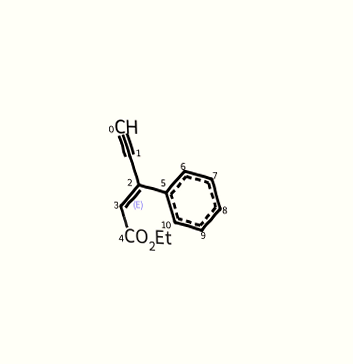 C#C/C(=C/C(=O)OCC)c1ccccc1